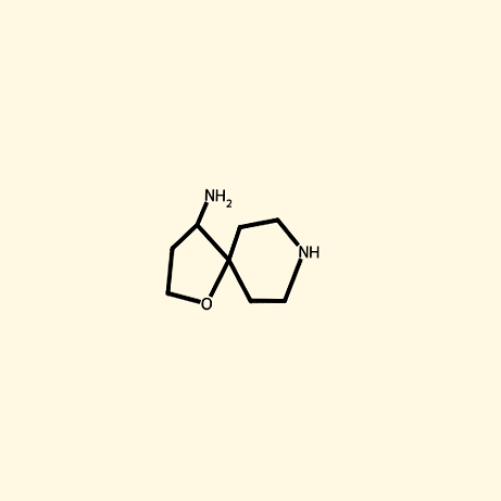 NC1CCOC12CCNCC2